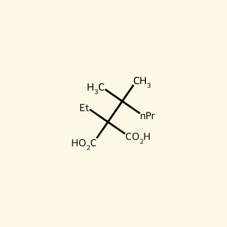 CCCC(C)(C)C(CC)(C(=O)O)C(=O)O